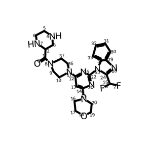 O=C(C1CNCCN1)N1CCN(c2cc(N3CCOCC3)nc(-n3c(C(F)F)nc4ccccc43)n2)CC1